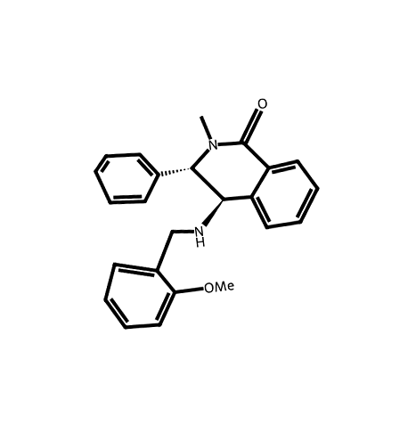 COc1ccccc1CN[C@@H]1c2ccccc2C(=O)N(C)[C@H]1c1ccccc1